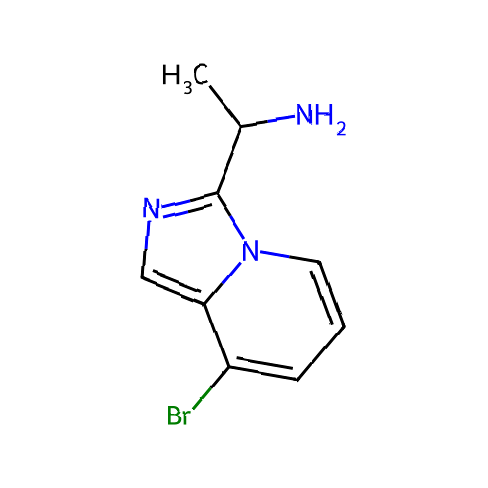 CC(N)c1ncc2c(Br)cccn12